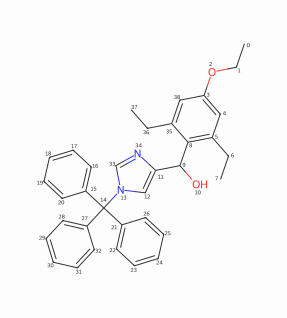 CCOc1cc(CC)c(C(O)c2cn(C(c3ccccc3)(c3ccccc3)c3ccccc3)cn2)c(CC)c1